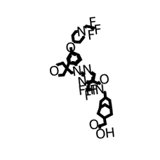 O=C(O)CC1CC2CC(CNC(=O)c3cnc(N4CC5(CCOCC5)c5cc(OC6CCN(CC(F)(F)F)CC6)ccc54)nc3C(F)(F)F)CC(C1)C2